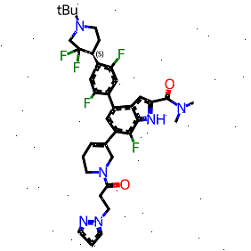 CN(C)C(=O)c1cc2c(-c3cc(F)c([C@@H]4CCN(C(C)(C)C)CC4(F)F)cc3F)cc(C3=CCCN(C(=O)CCn4cccn4)C3)c(F)c2[nH]1